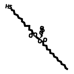 CCCCCCCCCCCCCCC(=O)O[C@@H](COP=O)COC(=O)CCCCCCCCCCCCS